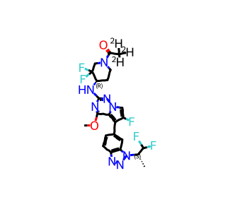 [2H]C([2H])([2H])C(=O)N1CC[C@@H](Nc2nc(OC)c3c(-c4ccc5nnn([C@@H](C)C(F)F)c5c4)c(F)cn3n2)C(F)(F)C1